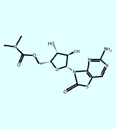 CN(C)C(=O)OC[C@H]1O[C@@H](n2c(=O)sc3cnc(N)nc32)[C@H](O)[C@H]1O